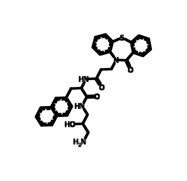 NCC(O)CNC(=O)C(Cc1ccc2ccccc2c1)NC(=O)CCN1C(=O)c2ccccc2Sc2ccccc21